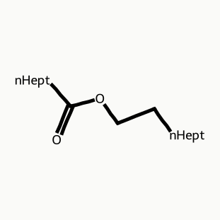 [CH2]CCCCCCC(=O)OCCCCCCCCC